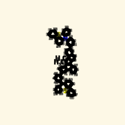 CC1(C)c2c(ccc3cc(-c4cccc(N(c5ccccc5)c5cccc6c5sc5ccccc56)c4)ccc23)-c2c1c1ccc(-c3cccc(C(c4ccccc4)c4cccc5c4sc4ccccc45)c3)cc1c1ccccc21